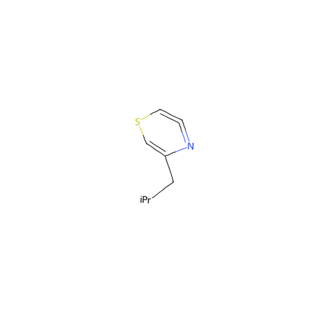 CC(C)CC1=CSC=C=N1